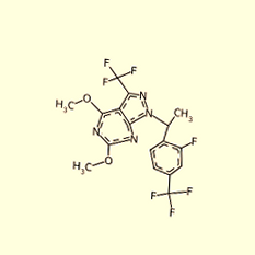 COc1nc(OC)c2c(C(F)(F)F)nn(C(C)c3ccc(C(F)(F)F)cc3F)c2n1